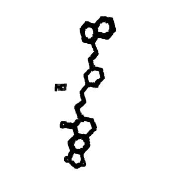 Cl.O=C1c2cc3c(cc2CCN1CCCC1CCCN(CCc2cccc4ccccc24)C1)OCO3